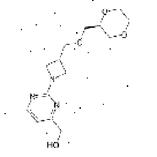 OCc1ccnc(N2CC(COC[C@@H]3COCCO3)C2)n1